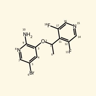 CC(Oc1cc(Br)cnc1N)c1c(F)cncc1F